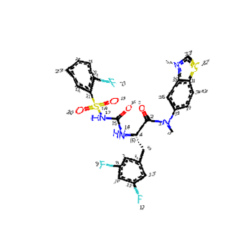 CN(C(=O)[C@H](Cc1cc(F)cc(F)c1)NC(=O)NS(=O)(=O)c1ccccc1F)c1ccc2scnc2c1